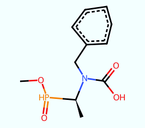 CO[PH](=O)[C@H](C)N(Cc1ccccc1)C(=O)O